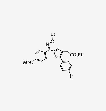 CCON=C(c1ccc(OC)cc1)c1cc(CC(=O)OCC)c(-c2ccc(Cl)cc2)s1